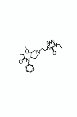 CCC(=O)N(c1ccccc1)[C@H]1CCN(CCn2nnn(CC)c2=O)C[C@H]1OC